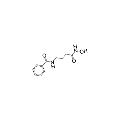 O=C(CCCNC(=O)c1ccccc1)NO